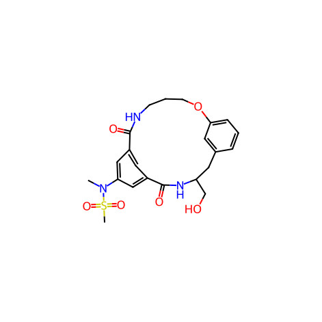 CN(c1cc2cc(c1)C(=O)NC(CO)Cc1cccc(c1)OCCCNC2=O)S(C)(=O)=O